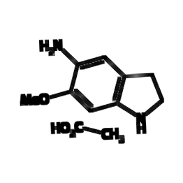 CC(=O)O.COc1cc2c(cc1N)CCN2